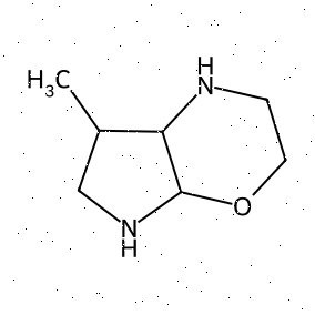 CC1CNC2OCCNC12